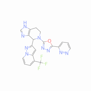 FC(F)(F)c1cccn2nc(C3c4nc[nH]c4CCN3c3nnc(-c4cccnn4)o3)cc12